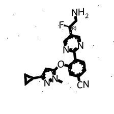 Cn1nc(C2CC2)cc1Oc1cc(C#N)ccc1-c1ncc([C@@H](F)CN)cn1